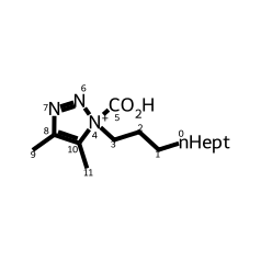 CCCCCCCCCC[N+]1(C(=O)O)N=NC(C)=C1C